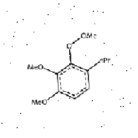 CCCc1ccc(OC)c(OC)c1OOC